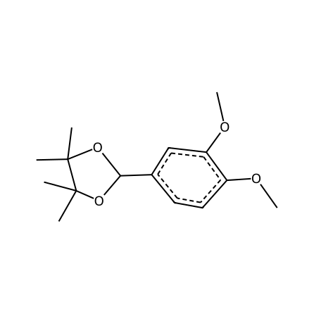 COc1ccc(C2OC(C)(C)C(C)(C)O2)cc1OC